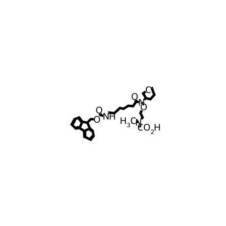 CN(CCON(C(=O)CCCCCCNC(=O)OCC1c2ccccc2-c2ccccc21)C1CCCCC1)C(=O)O